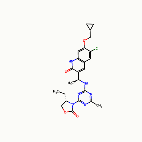 CC[C@H]1COC(=O)N1c1nc(C)nc(N[C@@H](C)c2cc3cc(Cl)c(OCC4CC4)cc3[nH]c2=O)n1